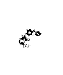 O=C(O)C1=CCS[C@H]2C(Sc3ccc(Cn4ccnc4)cc3)C(=O)N12